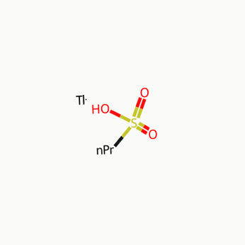 CCCS(=O)(=O)O.[Tl]